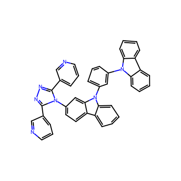 c1cncc(-c2nnc(-c3cccnc3)n2-c2ccc3c4ccccc4n(-c4cccc(-n5c6ccccc6c6ccccc65)c4)c3c2)c1